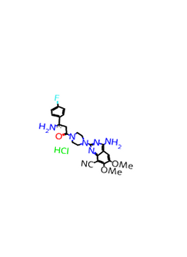 COc1cc2c(N)nc(N3CCN(C(=O)C[C@@H](N)c4ccc(F)cc4)CC3)nc2c(C#N)c1OC.Cl